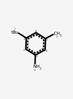 Cc1cc(N)cc(C(C)(C)C)c1